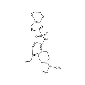 COc1ccc(NS(=O)(=O)c2ccc3c(c2)OCCO3)c2c1C[C@@H](N(C)C)CC2